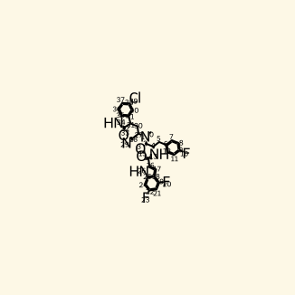 CN(C(=O)C(Cc1ccc(F)cc1)NC(=O)c1cc2c(F)cc(F)cc2[nH]1)C(C#N)CC1C(=O)Nc2ccc(Cl)cc21